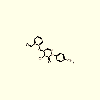 Cc1ccc(-n2ncc(Oc3ccccc3C=O)c(Cl)c2=O)cc1